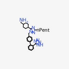 CCCCCc1nc(C2CCC(CN)CC2)n(Cc2ccc(-c3ccccc3-c3nnn[nH]3)cc2)n1